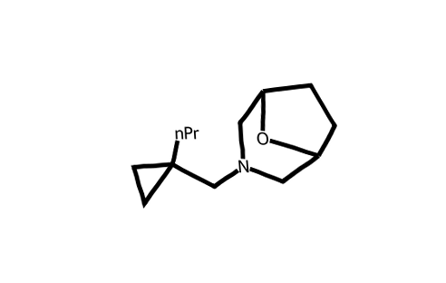 CCCC1(CN2CC3CCC(C2)O3)CC1